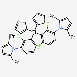 CC(C)c1ccc(C(C)C)n1-c1ccc(F)[c]([Ti]([C]2=CC=CC2)([C]2=CC=CC2)[c]2c(F)ccc(-n3c(C(C)C)ccc3C(C)C)c2F)c1F